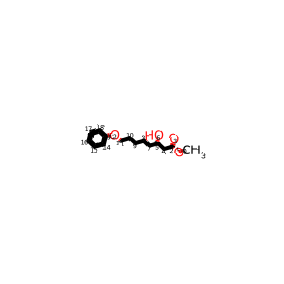 COC(=O)CC(O)CCCCCOc1ccccc1